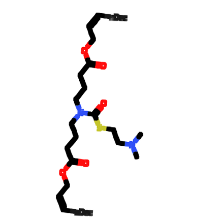 CCCCCCCCCC/C=C\COC(=O)CCCN(CCCC(=O)OC/C=C\CCCCCCCCCC)C(=O)SCCN(C)C